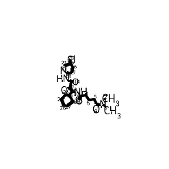 CN(C)C(=O)CCCC(=O)NC1=C(C(=O)Nc2ccc(Cl)cn2)OC2C=CC=CC12